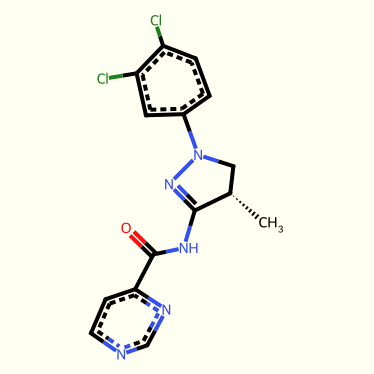 C[C@H]1CN(c2ccc(Cl)c(Cl)c2)N=C1NC(=O)c1ccncn1